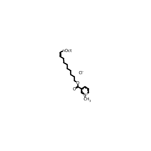 CCCCCCCC/C=C\CCCCCCCCOC(=O)c1ccc[n+](C)c1.[Cl-]